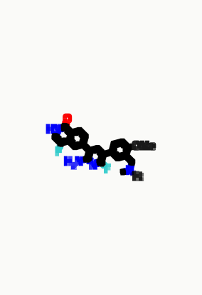 CCN(C)Cc1cc(-c2cc(-c3ccc4c(=O)[nH]cc(F)c4c3)c(N)nc2F)ccc1OC